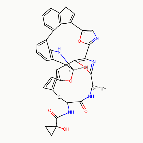 CC(C)[C@@H]1NC(=O)C(NC(=O)C2(O)CC2)Cc2ccc3c(c2)C24c5cccc(c5N[C@H]2O3)-c2cccc3c2C(=CC3)c2cnc(o2)-c2nc1oc24